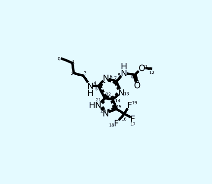 CCCCNc1nc(NC(=O)OC)nc2c(C(F)(F)F)n[nH]c12